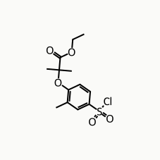 CCOC(=O)C(C)(C)Oc1ccc(S(=O)(=O)Cl)cc1C